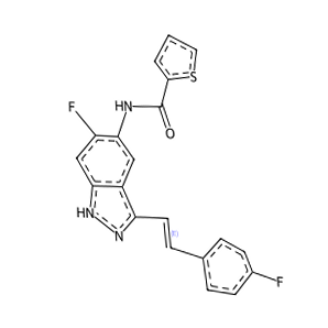 O=C(Nc1cc2c(/C=C/c3ccc(F)cc3)n[nH]c2cc1F)c1cccs1